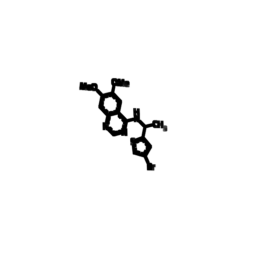 COc1cc2ncnc(NC(C)c3cc(Br)cs3)c2cc1OC